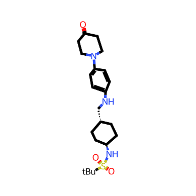 CC(C)(C)S(=O)(=O)N[C@H]1CC[C@H](CNc2ccc(N3CCC(=O)CC3)cc2)CC1